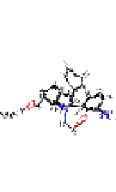 COOCc1ccc2c(C3CCCCC3)c3n(c2c1)CCOc1c(N)cccc1-3